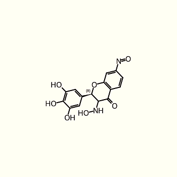 O=Nc1ccc2c(c1)O[C@H](c1cc(O)c(O)c(O)c1)C(NO)C2=O